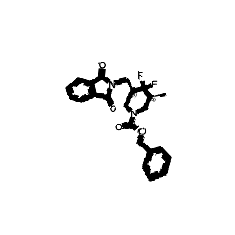 C[C@H]1CN(C(=O)OCc2ccccc2)C[C@@H](CN2C(=O)c3ccccc3C2=O)C1(F)F